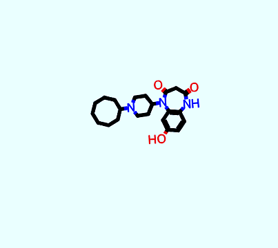 O=C1CC(=O)N(C2CCN(C3CCCCCCC3)CC2)c2cc(O)ccc2N1